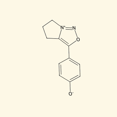 [O-]c1ccc(-c2on[n+]3c2CCC3)cc1